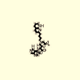 CN(C)C(=O)CN(CCCCc1ccc2c(n1)NCCC2)CCC(Nc1ncnc2cn[nH]c12)C(=O)O